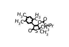 Cc1cc(C)c(C2=C(OC(=O)SC(C)C)C(C)(C)SC2=O)cc1C